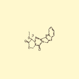 CC[C@@]1(OI)C(=O)OCc2c1cc1n(c2=O)Cc2cc3ccccc3nc2-1